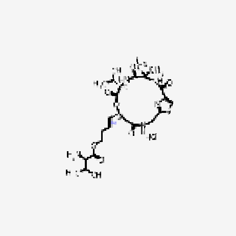 CC(C)C(N)C(=O)SCC/C=C/[C@@H]1CC(=O)NCc2nc(cs2)C(=O)NC(C)(C)C(=O)N[C@@H](C(C)C)C(=O)O1.Cl